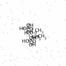 C=CC(C)C.N.O=P(O)(O)O.O=P(O)(O)O